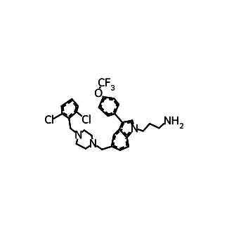 NCCCn1cc(-c2ccc(OC(F)(F)F)cc2)c2cc(CN3CCN(Cc4c(Cl)cccc4Cl)CC3)ccc21